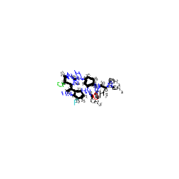 CC(=O)Nc1cc(Nc2ncc(Cl)c(-c3c[nH]c4c(F)cccc34)n2)ccc1N(C)CCN(C)C